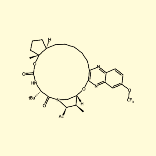 CC(=O)[C@@H]1[C@H](C)[C@@H]2CN1C(=O)[C@H](C(C)(C)C)NC(=O)O[C@]1(C)CCC[C@H]1CCCCCc1nc3ccc(OC(F)(F)F)cc3nc1O2